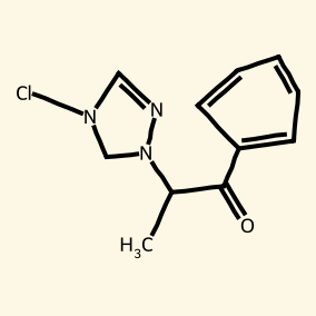 CC(C(=O)c1ccccc1)N1CN(Cl)C=N1